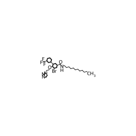 CCCCCCCCCCCCNC(=O)c1cc(Br)c(OCCn2ccnn2)c(-c2cccc(C(F)(F)F)c2)c1